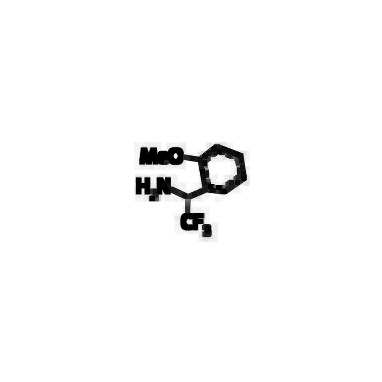 COc1ccccc1C(N)C(F)(F)F